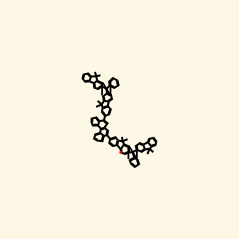 CC1(C)c2ccccc2-c2ccc(N(c3ccccc3)c3ccc4c(c3)C(C)(C)c3cc(-c5cc6cc(-c7ccc8c(c7)C(C)(C)c7cc(N(c9ccccc9)c9ccc%10c(c9)C(C)(C)c9ccccc9-%10)ccc7-8)c7ccccc7c6c6ccccc56)ccc3-4)cc21